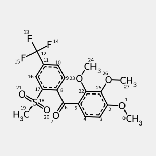 COc1ccc(C(=O)c2ccc(C(F)(F)F)cc2S(C)(=O)=O)c(OC)c1OC